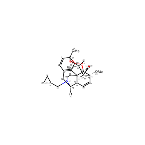 COc1ccc2c3c1O[C@@H]1C34CCN(CC3CC3)[C@H](C2)[C@]42C=C[C@@]1(OC)[C@@H]([C@](C)(O)C(C)(C)C)C2